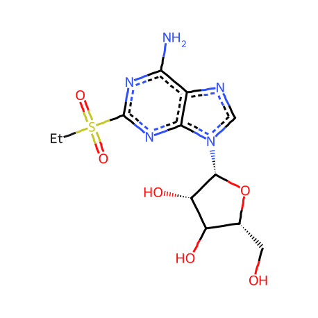 CCS(=O)(=O)c1nc(N)c2ncn([C@@H]3O[C@H](CO)C(O)[C@@H]3O)c2n1